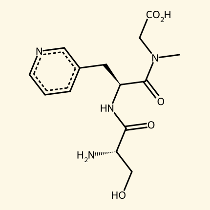 CN(CC(=O)O)C(=O)[C@H](Cc1cccnc1)NC(=O)[C@@H](N)CO